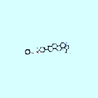 C=C(C)C1CC[C@]2(N)CC[C@]3(C)[C@H](CC[C@@H]4[C@@]5(C)CC=C(C6=CC[C@@](CF)(C(=O)OCc7ccccc7)CC6)C(C)(C)C5CC[C@]43C)[C@@H]12